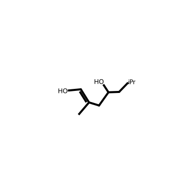 CC(=CO)CC(O)CC(C)C